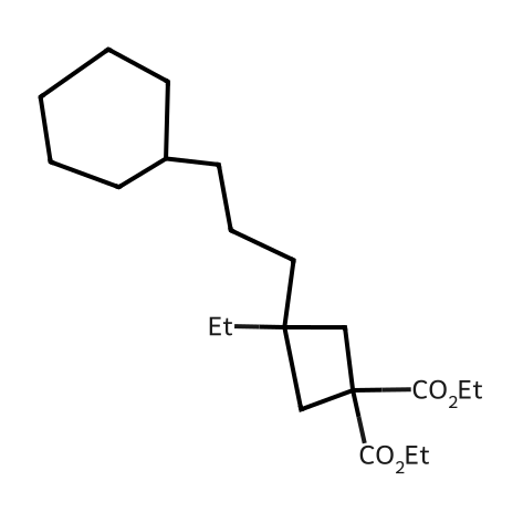 CCOC(=O)C1(C(=O)OCC)CC(CC)(CCCC2CCCCC2)C1